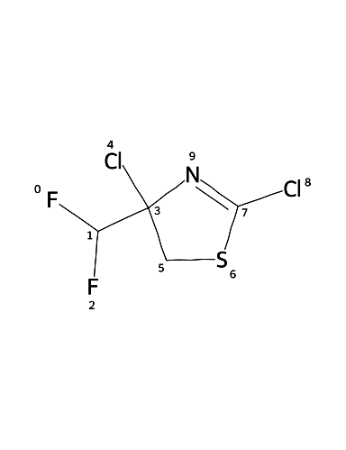 FC(F)C1(Cl)CSC(Cl)=N1